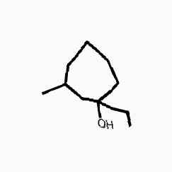 CCC1(O)CCCCC(C)C1